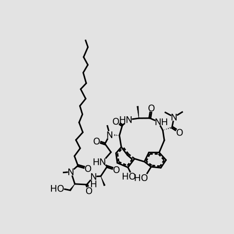 CCCCCCCCCCCCCCCC(=O)N(C)[C@H](CO)C(=O)N[C@H](C)C(=O)NCC(=O)N(C)[C@@H]1C(=O)N[C@@H](C)C(=O)N[C@H](C(=O)N(C)C)Cc2ccc(O)c(c2)-c2cc1ccc2O